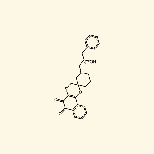 O=C1C(=O)c2ccccc2C2=C1SCC1(CCCN(C[C@H](O)Cc3ccccc3)C1)O2